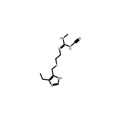 CCc1nc[nH]c1CSCC/N=C(/NC)NC#N